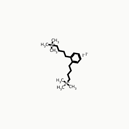 C[N+](C)(C)CCCCc1ccccc1CCCC[N+](C)(C)C.[I-].[I-]